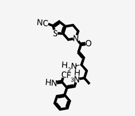 CC(C[C@H](N)/C=C/C(=O)N1CCc2cc(C#N)sc2C1)N/C=C(\C(=N)C(F)(F)F)c1ccccc1